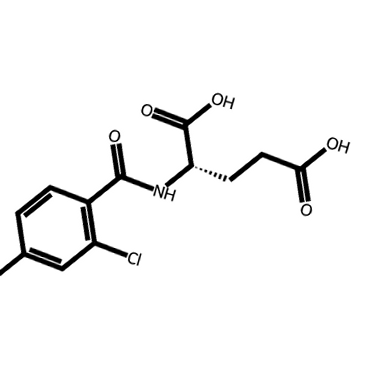 Nc1ccc(C(=O)N[C@@H](CCC(=O)O)C(=O)O)c(Cl)c1